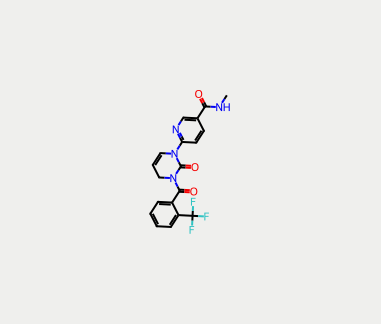 CNC(=O)c1ccc(N2C=CCN(C(=O)c3ccccc3C(F)(F)F)C2=O)nc1